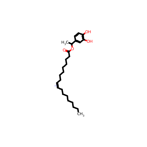 CCCCCCCC/C=C\CCCCCCCC(=O)OC(C)c1ccc(O)c(O)c1